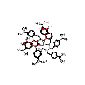 CN(Cc1ccc(B(O)O)cc1)N(Cc1ccc(B(O)O)cc1)N(Cc1ccc(B(O)O)cc1)N(Cc1ccc(B(O)O)cc1)N(Cc1ccc(B(O)O)cc1)N(Cc1ccc(B(O)O)cc1)N(Cc1ccc(B(O)O)cc1)NCc1ccc(B(O)O)cc1